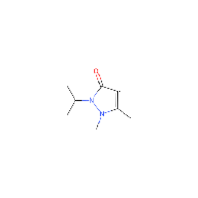 Cc1[c]c(=O)n(C(C)C)n1C